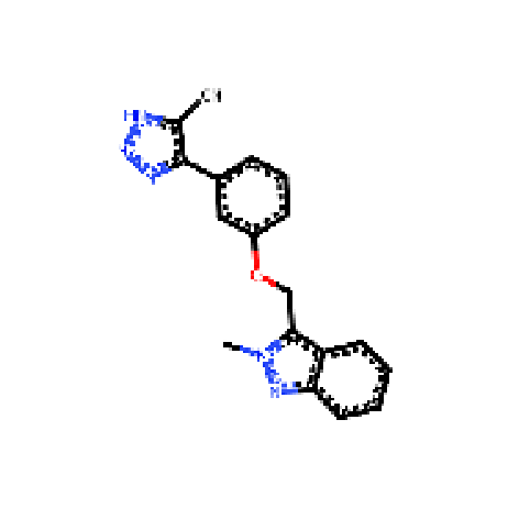 Cn1nc2ccccc2c1COc1cccc(-c2nn[nH]c2C#N)c1